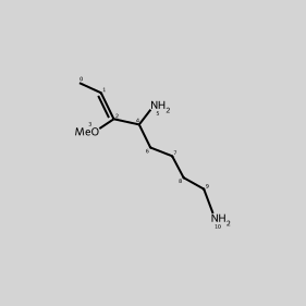 C/C=C(\OC)C(N)CCCCN